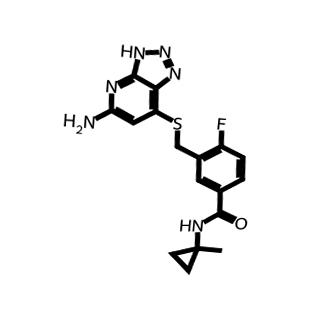 CC1(NC(=O)c2ccc(F)c(CSc3cc(N)nc4[nH]nnc34)c2)CC1